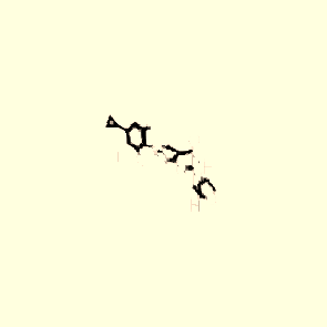 Cc1cc(C2CC2)cc(F)c1-n1cc2c(=O)[nH]c(N3C[C@H]4C[C@@H]3CO4)nc2n1